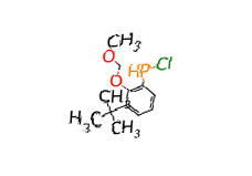 COCOc1c(PCl)cccc1C(C)(C)C